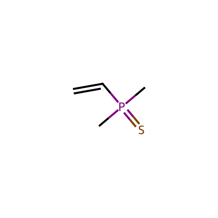 C=CP(C)(C)=S